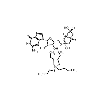 CCCC[N+](CCCC)(CCCC)CCCC.Nc1nc2c(ncn2[C@@H]2O[C@H](COP(=O)(O)OP(=O)(O)OP(=O)(O)O)[C@@H](O)[C@H]2O)c(=O)[nH]1